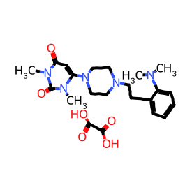 CN(C)c1ccccc1CCN1CCN(c2cc(=O)n(C)c(=O)n2C)CC1.O=C(O)C(=O)O